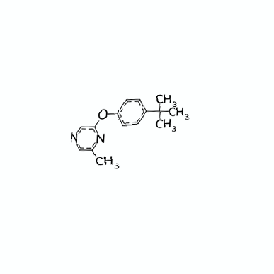 Cc1cncc(Oc2ccc(C(C)(C)C)cc2)n1